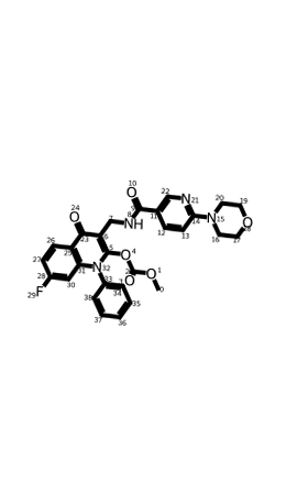 COC(=O)Oc1c(CNC(=O)c2ccc(N3CCOCC3)nc2)c(=O)c2ccc(F)cc2n1-c1ccccc1